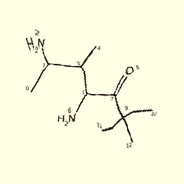 CC(N)C(C)C(N)C(=O)C(C)(C)C